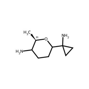 C[C@H]1OC(C2(N)CC2)CCC1N